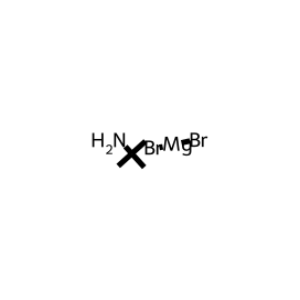 CC(C)(C)N.[Br][Mg][Br]